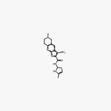 CC1=CSC(NC(=O)c2sc3nc4c(cc3c2N)CN(C)CC4)N1